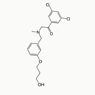 CN(CC(=O)c1cc(Cl)cc(Cl)c1)Cc1cccc(OCCCO)c1